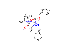 CCC(NC(=O)[C@H](CC1CCCCC1)NC(=O)OCc1ccccc1)C(=O)O